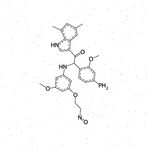 COc1cc(NC(C(=O)c2c[nH]c3c(C)cc(C)cc23)c2ccc(P)cc2OC)cc(OCCN=O)c1